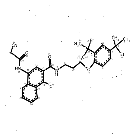 CCC(C)(C)c1ccc(OCCCNC(=O)c2cc(NC(=O)CC#N)c3ccccc3c2O)c(C(C)(C)CC)c1